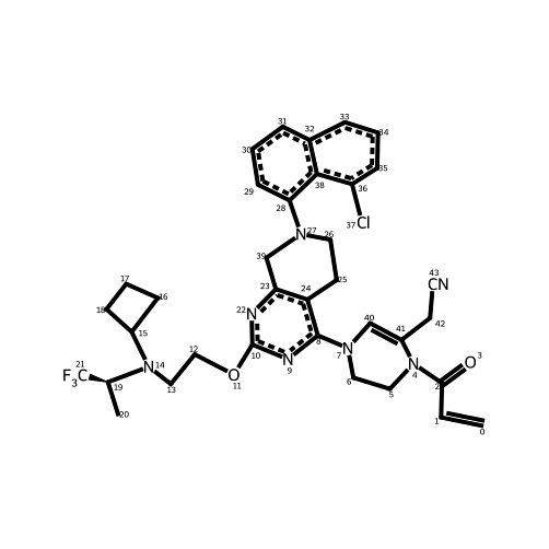 C=CC(=O)N1CCN(c2nc(OCCN(C3CCC3)[C@@H](C)C(F)(F)F)nc3c2CCN(c2cccc4cccc(Cl)c24)C3)C=C1CC#N